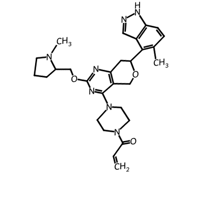 C=CC(=O)N1CCN(c2nc(OCC3CCCN3C)nc3c2COC(c2c(C)ccc4[nH]ncc24)C3)CC1